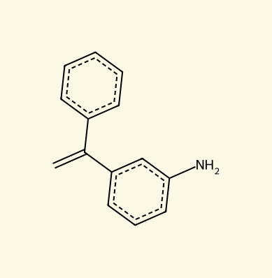 C=C(c1ccccc1)c1cccc(N)c1